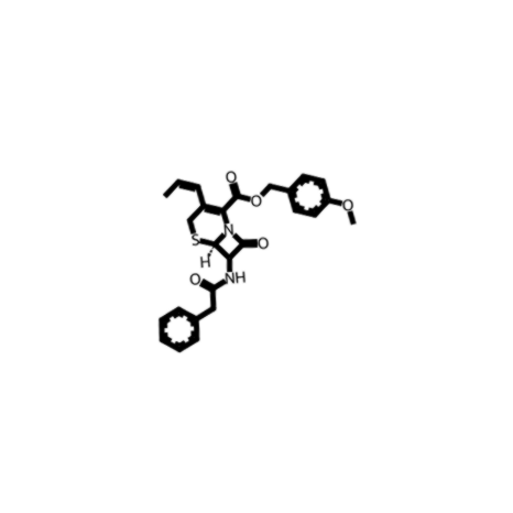 C/C=C\C1=C(C(=O)OCc2ccc(OC)cc2)N2C(=O)C(NC(=O)Cc3ccccc3)[C@H]2SC1